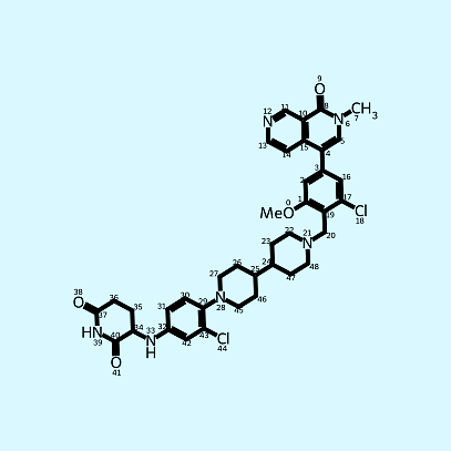 COc1cc(-c2cn(C)c(=O)c3cnccc23)cc(Cl)c1CN1CCC(C2CCN(c3ccc(NC4CCC(=O)NC4=O)cc3Cl)CC2)CC1